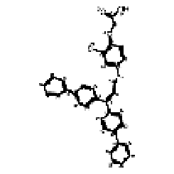 O=C(O)COc1ccc(SCC=C(c2ccc(-c3ccccc3)cc2)c2ccc(-c3ccccc3)cc2)cc1Cl